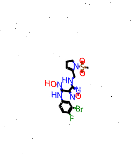 CS(=O)(=O)N1CCC=C1CNc1nonc1/C(=N/O)Nc1ccc(F)c(Br)c1